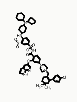 CC1(C)CCC(CN2CCN(c3ccc(C(=O)NS(=O)(=O)c4ccc(NC5CCC(N(C6CCCCC6)C6CCCCC6)CC5)c([N+](=O)[O-])c4)c(Oc4cnc5[nH]ccc5c4)c3)CC2)=C(c2ccc(Cl)cc2)C1